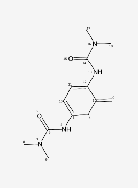 C=C1CC(NC(=O)N(C)C)=CC=C1NC(=O)N(C)C